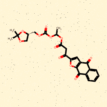 CC(OC(=O)CC(=O)c1cc2c(o1)C(=O)c1ccccc1C2=O)OC(=O)OC[C@@H]1COC(C)(C)O1